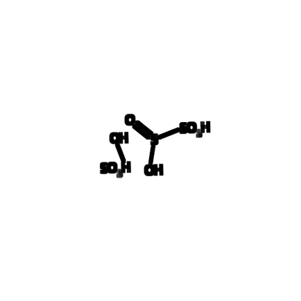 O=S(=O)(O)O.O=S(O)S(=O)(=O)O